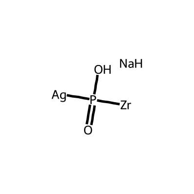 O=[P](O)([Zr])[Ag].[NaH]